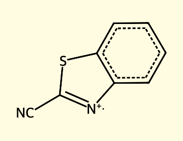 N#CC1=[N+]c2ccccc2S1